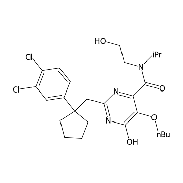 CCCCOc1c(O)nc(CC2(c3ccc(Cl)c(Cl)c3)CCCC2)nc1C(=O)N(CCO)C(C)C